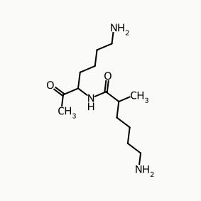 CC(=O)C(CCCCN)NC(=O)C(C)CCCCN